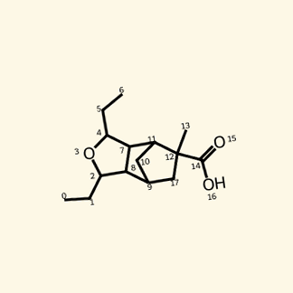 CCC1OC(CC)C2C1C1CC2C(C)(C(=O)O)C1